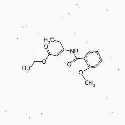 CCOC(=O)C=C(CC)NC(=O)c1ccccc1OC